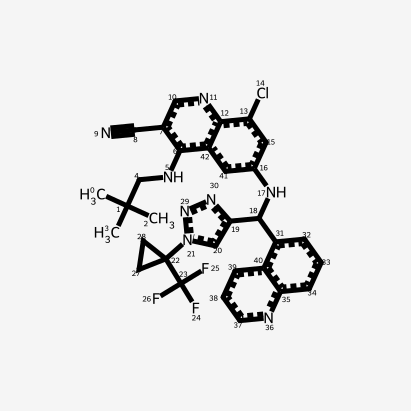 CC(C)(C)CNc1c(C#N)cnc2c(Cl)cc(NC(c3cn(C4(C(F)(F)F)CC4)nn3)c3cccc4ncccc34)cc12